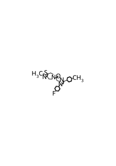 Cc1ccc(-c2cn(-c3ccc(F)cc3)c(CC(=O)N3CCc4nc(C)sc4CC3)n2)cc1